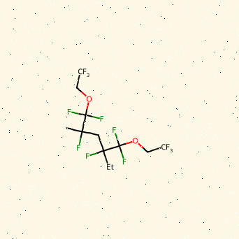 CCC(F)(CC(C)(F)C(F)(F)OCC(F)(F)F)C(F)(F)OCC(F)(F)F